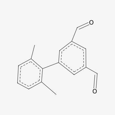 Cc1cccc(C)c1-c1cc(C=O)cc(C=O)c1